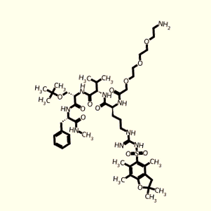 CNC(=O)[C@H](Cc1ccccc1)NC(=O)[C@H](COC(C)(C)C)NC(=O)[C@@H](NC(=O)[C@H](CCCNC(=N)NS(=O)(=O)c1c(C)c(C)c2c(c1C)CC(C)(C)O2)NC(=O)COCCOCCOCCN)C(C)C